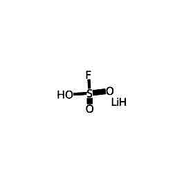 O=S(=O)(O)F.[LiH]